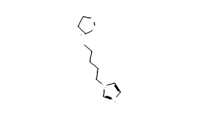 c1cn(CCCCC[C@@H]2CCSS2)cn1